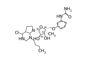 CCCCN1CNC(Cl)C2CCN([C@@H]3O[C@H](COc4cccc(NC(N)=O)c4)[C@@](C)(O)[C@H]3O)C21